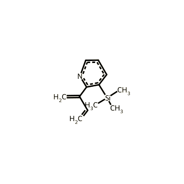 C=CC(=C)c1ncccc1[Si](C)(C)C